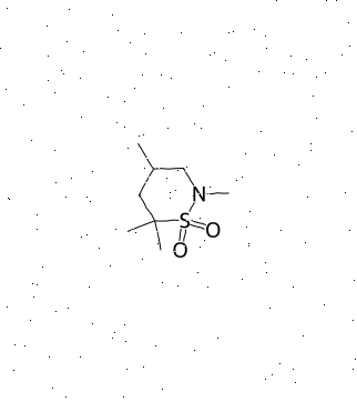 CC1CN(C)S(=O)(=O)C(C)(C)C1